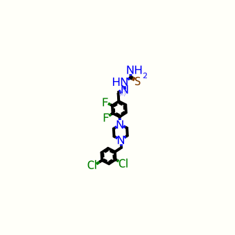 NC(=S)N/N=C/c1ccc(N2CCN(Cc3ccc(Cl)cc3Cl)CC2)c(F)c1F